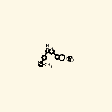 Cc1cccnc1-c1ccc(-c2c[nH]c3ncc(-c4ccc5c(c4)CC[C@@H](N4C6COCC4C6)CC5)cc23)c(F)c1